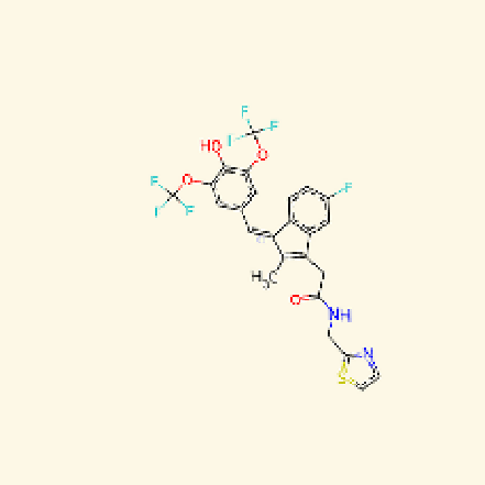 CC1=C(CC(=O)NCc2nccs2)c2cc(F)ccc2/C1=C\c1cc(OC(F)(F)F)c(O)c(OC(F)(F)F)c1